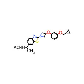 CC(=O)NC(C)c1ccc2nc(N3CC(Oc4cccc(OCC5CC5)c4)C3)sc2c1